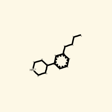 CCCCc1cccc(C2CCNCC2)c1